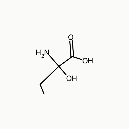 CCC(N)(O)C(=O)O